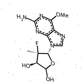 COc1nc(N)nc2c1ncn2[C@@H]1OC(O)[C@@H](O)[C@@]1(C)F